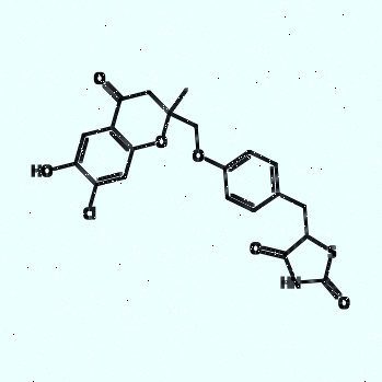 CC1(COc2ccc(CC3SC(=O)NC3=O)cc2)CC(=O)c2cc(O)c(Cl)cc2O1